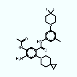 CC(=O)Nc1cc(C(=O)Nc2cc(C)cc(N3CCC(F)(F)CC3)c2)c(N2CCC3(CC2)CC3)cc1N